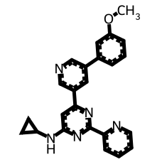 COc1cccc(-c2cncc(-c3cc(NC4CC4)nc(-c4ccccn4)n3)c2)c1